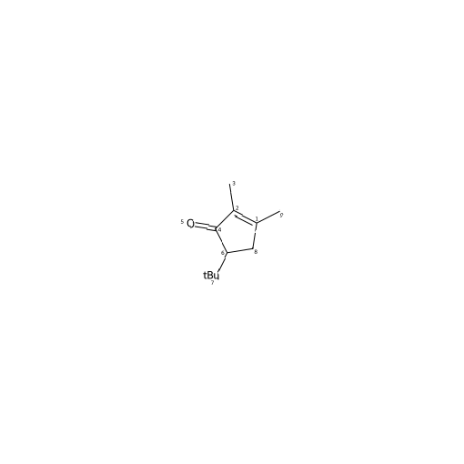 CC1=C(C)C(=O)C(C(C)(C)C)C1